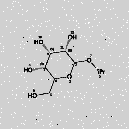 CC(C)OC1OC(CO)[C@H](O)[C@H](O)[C@@H]1O